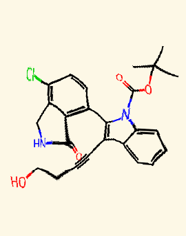 CC(C)(C)OC(=O)n1c(-c2ccc(Cl)c3c2C(=O)NC3)c(C#CCCO)c2ccccc21